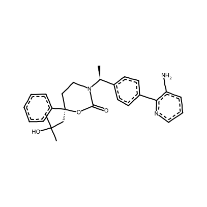 C[C@@H](c1ccc(-c2ncccc2N)cc1)N1CC[C@](CC(C)(C)O)(c2ccccc2)OC1=O